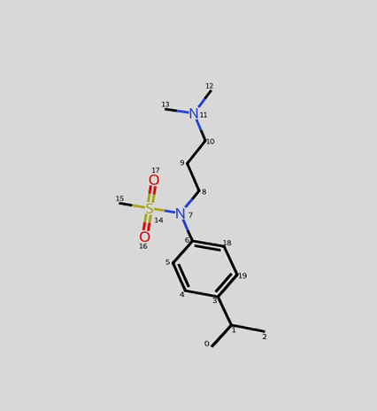 CC(C)c1ccc(N(CCCN(C)C)S(C)(=O)=O)cc1